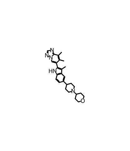 Cc1c(-c2[nH]c3ccc(C4CCN(C5CCOCC5)CC4)cc3c2C)cn2ncnc2c1C